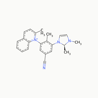 Cc1c(N2C=CN(C)[C@H]2C)cc(C#N)cc1-[n+]1c(C)ccc2ccccc21